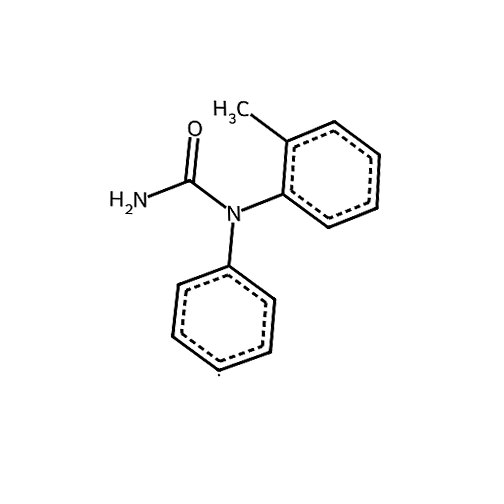 Cc1ccccc1N(C(N)=O)c1cc[c]cc1